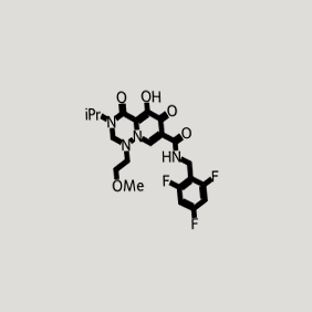 COCCN1CN(C(C)C)C(=O)c2c(O)c(=O)c(C(=O)NCc3c(F)cc(F)cc3F)cn21